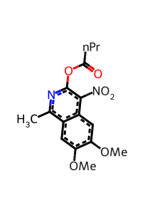 CCCC(=O)Oc1nc(C)c2cc(OC)c(OC)cc2c1[N+](=O)[O-]